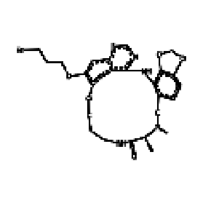 C[C@H]1C(=O)NCCCOc2cc3c(ncnc3cc2OCCCBr)Nc2c(ccc3c2OCO3)CN1C